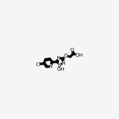 O=C(O)COc1nc(-c2ccc(Cl)cn2)n(O)n1